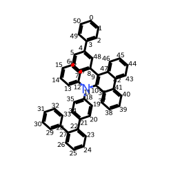 c1ccc(-c2cccc(-c3c(N(c4ccccc4)c4ccc(-c5ccccc5-c5ccccc5)cc4)c4ccccc4c4ccccc34)c2)cc1